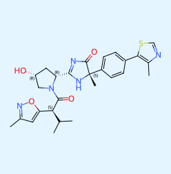 Cc1cc([C@@H](C(=O)N2C[C@H](O)C[C@@H]2C2=NC(=O)[C@](C)(c3ccc(-c4scnc4C)cc3)N2)C(C)C)on1